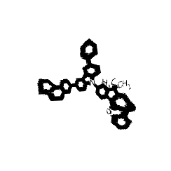 CC1(C)c2cc(-n3c4ccc(-c5ccccc5)cc4c4cc(-c5ccc6c(ccc7ccccc76)c5)ccc43)ccc2-c2c1ccc1c2oc2ccccc21